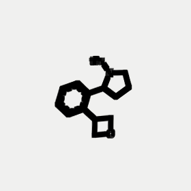 CC(C)(C)N1CCCC1c1ccccc1C1COC1